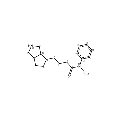 O=C(CCCC1CCC2CNCC12)N(c1ccccc1)C(F)(F)F